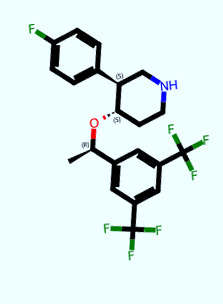 C[C@@H](O[C@H]1CCNC[C@@H]1c1ccc(F)cc1)c1cc(C(F)(F)F)cc(C(F)(F)F)c1